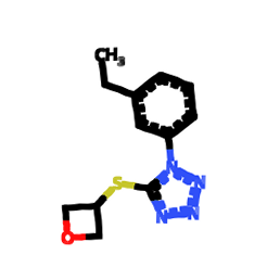 CCc1cccc(-n2nnnc2SC2COC2)c1